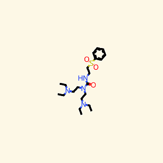 CCN(CC)CCN(CCN(CC)CC)C(=O)NCCS(=O)(=O)c1ccccc1